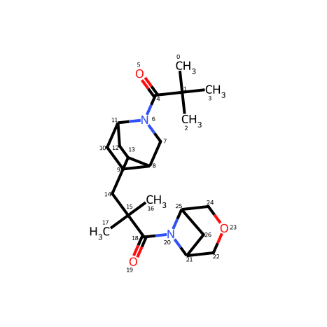 CC(C)(C)C(=O)N1CC2CCC1CC2CC(C)(C)C(=O)N1C2COCC1C2